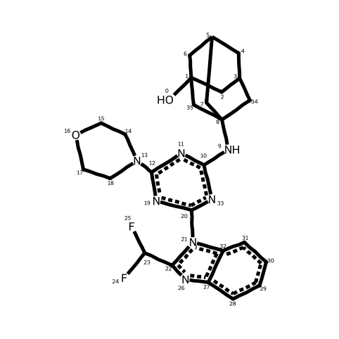 OC12CC3CC(C1)CC(Nc1nc(N4CCOCC4)nc(-n4c(C(F)F)nc5ccccc54)n1)(C3)C2